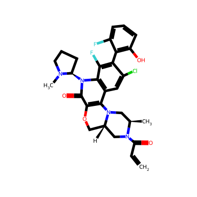 C=CC(=O)N1C[C@@H]2COc3c(c4cc(Cl)c(-c5c(O)cccc5F)c(F)c4n([C@@H]4CCCN4C)c3=O)N2C[C@H]1C